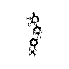 C=C1CCN(c2cnc(Oc3cccc(SC(F)(F)F)c3)nc2)C(=O)N1